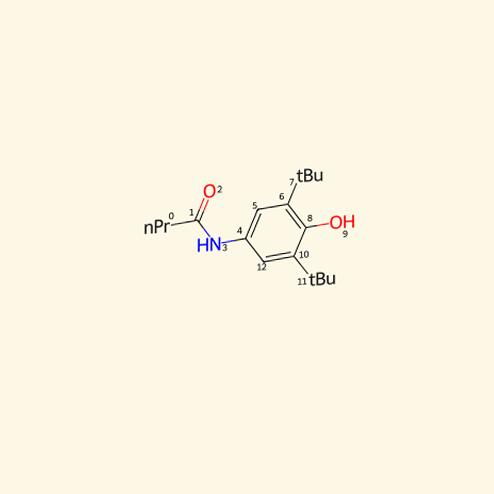 CCCC(=O)Nc1cc(C(C)(C)C)c(O)c(C(C)(C)C)c1